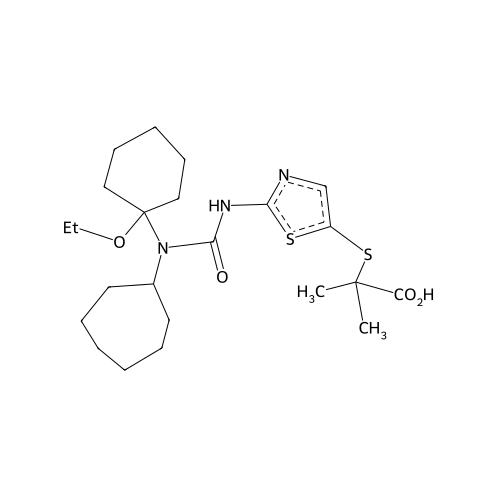 CCOC1(N(C(=O)Nc2ncc(SC(C)(C)C(=O)O)s2)C2CCCCCC2)CCCCC1